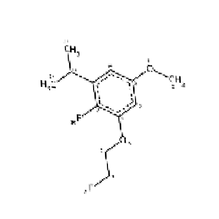 COc1cc(OCCF)c(F)c(C(C)C)c1